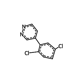 Clc1ccc(Cl)c(-c2ccnnc2)c1